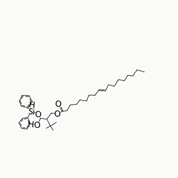 CCCCCCCCC=CCCCCCCCC(=O)OCC(C(O)O[SiH](c1ccccc1)c1ccccc1)C(C)(C)C